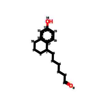 O=CCCCCCC1CCCc2cc(O)ccc21